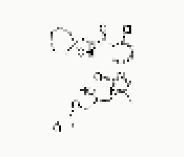 Cc1cn(-c2ccc(Cl)c(C(=O)NCC3(O)CCCCCC3)c2)c(=O)n1CC(O)COC1COC1